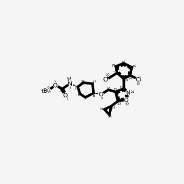 CC(C)(C)OC(=O)N[C@H]1CC[C@@H](OCc2c(-c3c(Cl)cccc3Cl)noc2C2CC2)CC1